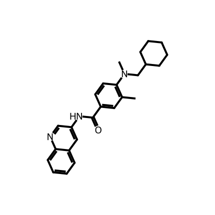 Cc1cc(C(=O)Nc2cnc3ccccc3c2)ccc1N(C)CC1CCCCC1